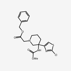 COC(=O)NC1(c2csc(Cl)n2)CCCN(CC(=O)OCc2ccccc2)C1